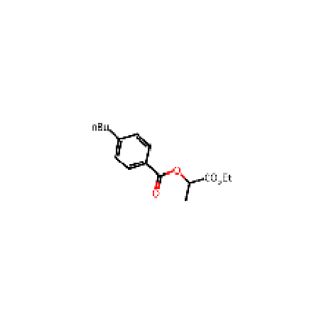 CCCCc1ccc(C(=O)OC(C)C(=O)OCC)cc1